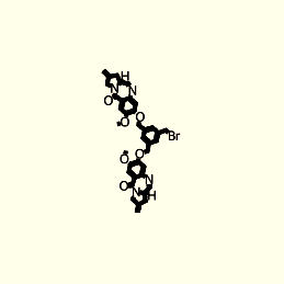 C=C1C[C@H]2C=Nc3cc(OCc4cc(CBr)cc(COc5cc6c(cc5OC)C(=O)N5CC(=C)C[C@@H]5C=N6)c4)c(OC)cc3C(=O)N2C1